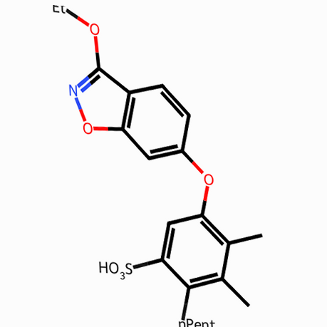 CCCCCc1c(S(=O)(=O)O)cc(Oc2ccc3c(OCC)noc3c2)c(C)c1C